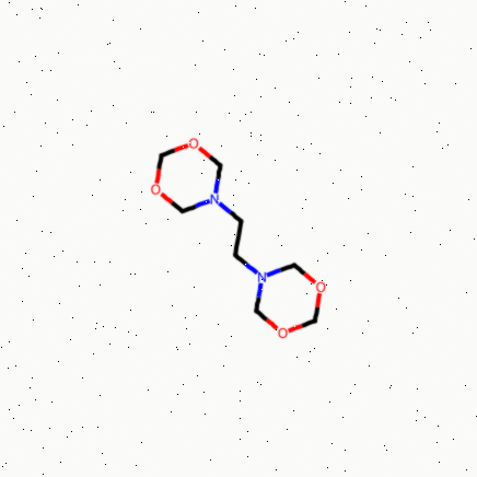 C1OCN(CCN2COCOC2)CO1